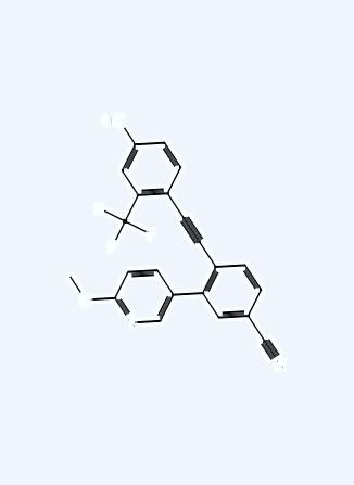 COc1ccc(-c2cc(C#N)ccc2C#Cc2ccc(O)cc2C(F)(F)F)cn1